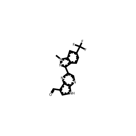 Cn1nc(-c2cnc3[nH]cc([C]=O)c3n2)c2ccc(C(F)(F)F)cc21